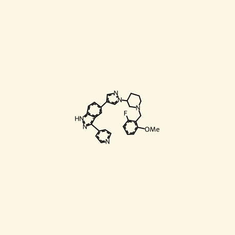 COc1cccc(F)c1CN1CCCC(n2cc(-c3ccc4[nH]nc(-c5ccncc5)c4c3)cn2)C1